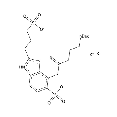 CCCCCCCCCCCCCC(=S)Cc1c(S(=O)(=O)[O-])ccc2[nH]c(CCCS(=O)(=O)[O-])nc12.[K+].[K+]